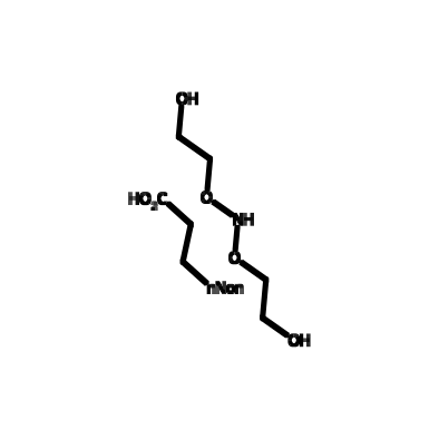 CCCCCCCCCCCC(=O)O.OCCONOCCO